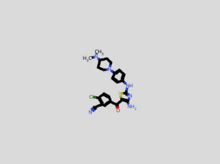 CN(C)C1CCN(c2ccc(Nc3nc(N)c(C(=O)c4ccc(Cl)c(C#N)c4)s3)cc2)CC1